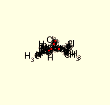 CN1CCC(Nc2ccc(S(=O)(=O)NC(=O)c3ccc(N4CCN(CC5=C(c6ccc(Cl)cc6)CC(C)(C)CC5)CC4)cc3Oc3cccc(Cl)c3)cc2[N+](=O)[O-])C1